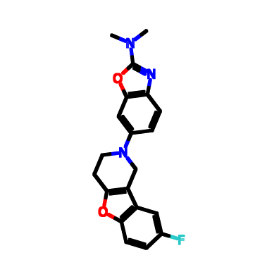 CN(C)c1nc2ccc(N3CCc4oc5ccc(F)cc5c4C3)cc2o1